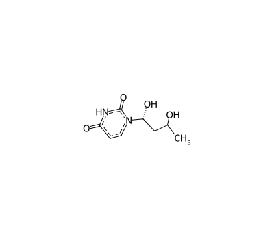 CC(O)C[C@@H](O)n1ccc(=O)[nH]c1=O